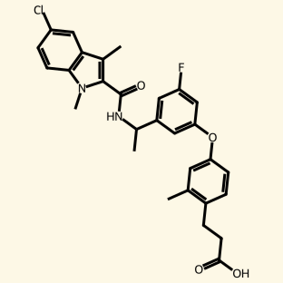 Cc1cc(Oc2cc(F)cc(C(C)NC(=O)c3c(C)c4cc(Cl)ccc4n3C)c2)ccc1CCC(=O)O